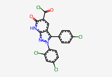 O=C(Cl)c1cc2c(-c3ccc(Cl)cc3)n(-c3ccc(Cl)cc3Cl)nc2[nH]c1=O